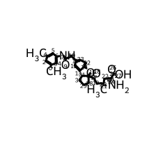 Cc1cc(C)cc(NC(=O)Cc2ccc(OC3(C(=O)CC(C)C[C@H](N)C(=O)O)CCCC3)cc2)c1